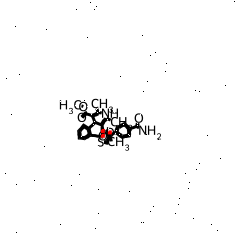 COC(=O)C1=C(C)NC(C)=C(C(=O)OC)C1c1ccccc1-c1nc(-c2ccc(C(N)=O)cc2)cs1